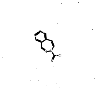 S=C(Cl)N1C=Cc2ccccc2C=N1